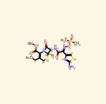 CC(=O)OCC1=C(C(=O)OC(C)(C)C)N2C(=O)[C@H](NC(=O)C(=NOP(C)(C)=O)c3csc(N)n3)[C@H]2SC1